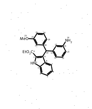 CCOC(=O)c1[nH]c2ccccc2c1C(c1cccc(N)c1)c1cccc(OC)c1